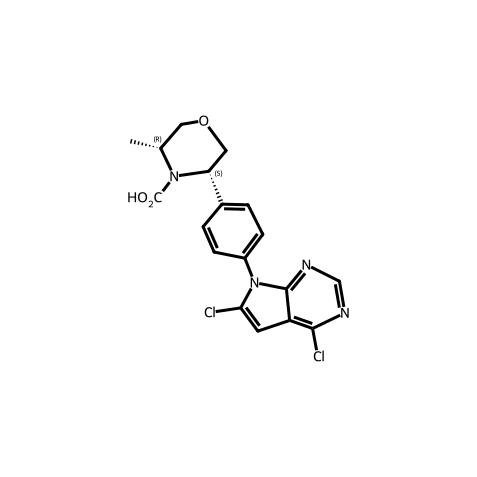 C[C@@H]1COC[C@H](c2ccc(-n3c(Cl)cc4c(Cl)ncnc43)cc2)N1C(=O)O